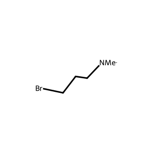 C[N]CCCBr